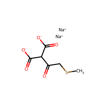 CSCC(=O)C(C(=O)[O-])C(=O)[O-].[Na+].[Na+]